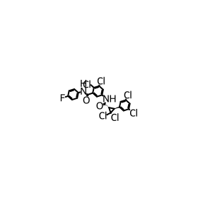 O=C(Nc1ccc(F)cc1)c1cc(NC(=O)[C@@H]2[C@@H](c3cc(Cl)cc(Cl)c3)C2(Cl)Cl)cc(Cl)c1Cl